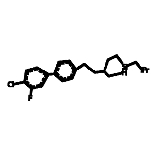 CC(C)C[SiH]1CCC(CCc2ccc(-c3ccc(Cl)c(F)c3)cc2)CC1